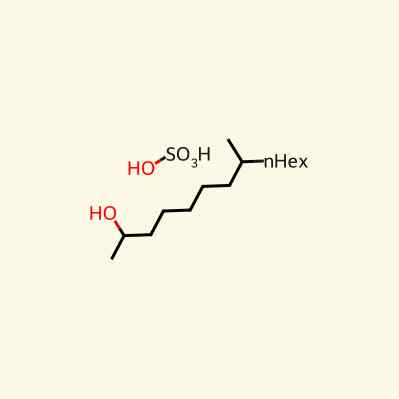 CCCCCCC(C)CCCCCC(C)O.O=S(=O)(O)O